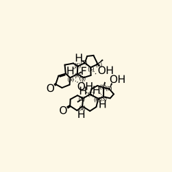 C[C@]1(O)CC[C@H]2[C@@H]3CCC4=CC(=O)CC[C@]4(C)[C@@]3(F)[C@@H](O)C[C@@]21C.C[C@]12CCC(=O)C[C@@H]1CC[C@@H]1[C@@H]2CC[C@]2(C)[C@@H](O)CC[C@@H]12